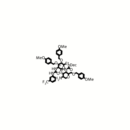 CCCCCCCCCCC(=O)N[C@H]1C(COCc2ccc(OC)cc2)OCC(N)[C@H]1O[C@@H]1OC(CC)[C@@H](OCc2ccc(OC)cc2)[C@H](OCc2ccc(OC)cc2)C1NC(=O)Nc1cccc(C(F)(F)F)c1